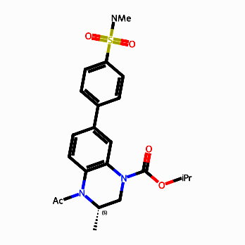 CNS(=O)(=O)c1ccc(-c2ccc3c(c2)N(C(=O)OC(C)C)C[C@H](C)N3C(C)=O)cc1